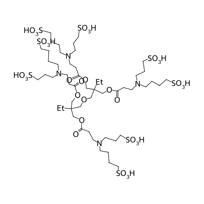 CCC(COCC(CC)(COC(=O)CCN(CCCCS(=O)(=O)O)CCCS(=O)(=O)O)COC(=O)CCN(CCCCS(=O)(=O)O)CCCS(=O)(=O)O)(COC(=O)CCN(CCCCS(=O)(=O)O)CCCS(=O)(=O)O)COC(=O)CCN(CCCCS(=O)(=O)O)CCCS(=O)(=O)O